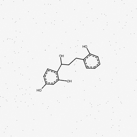 Oc1ccc(C(O)CCc2ccccc2O)c(O)c1